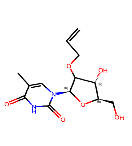 C=CCOC1[C@H](n2cc(C)c(=O)[nH]c2=O)O[C@H](CO)[C@H]1O